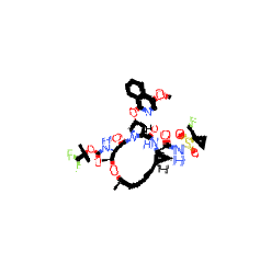 COc1cnc(O[C@@H]2C[C@H]3C(=O)N[C@]4(C(=O)NS(=O)(=O)C5(CF)CC5)C[C@H]4C=CCC[C@@H](C)O[C@@H](C)[C@H](NC(=O)OC(C)(C)C(F)F)C(=O)N3C2)c2ccccc12